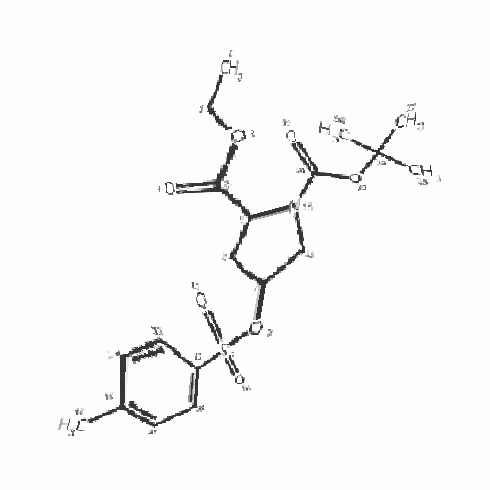 CCOC(=O)C1CC(OS(=O)(=O)c2ccc(C)cc2)CN1C(=O)OC(C)(C)C